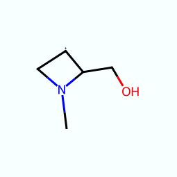 CN1C[CH]C1CO